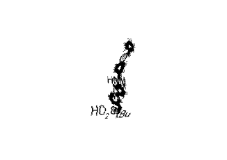 CC(C)(C)N(CC1CCCN(c2ccc3nc(-c4ccc(OCc5ccccc5)cc4)[nH]c3n2)C1)C(=O)O